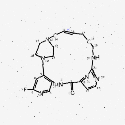 O=C1Nc2cnc(F)cc2N2CCN(C/C=C/CCCNc3nccc1n3)CC2